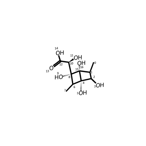 CC1C(O)[C@@]2(O)C(C)[C@@](O)([C@H](O)C(=O)O)[C@@]12O